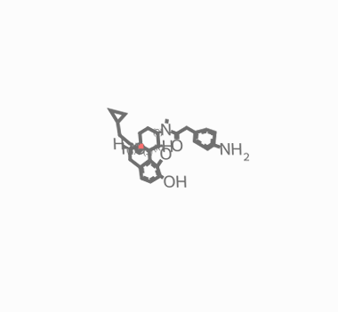 CN(C(=O)Cc1ccc(N)cc1)[C@@H]1CC[C@@]2(O)[C@H]3Cc4ccc(O)c5c4[C@@]2(CCN3CC2CC2)[C@H]1O5